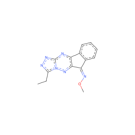 CCc1nnc2nc3c(nn12)C(=NOC)c1ccccc1-3